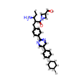 CCC(N)C(Cc1ccc(-c2ncc(-c3ccc([C@H]4CC[C@H](C)CC4)cc3)cn2)cc1)C(=O)N1CC(C=O)C1